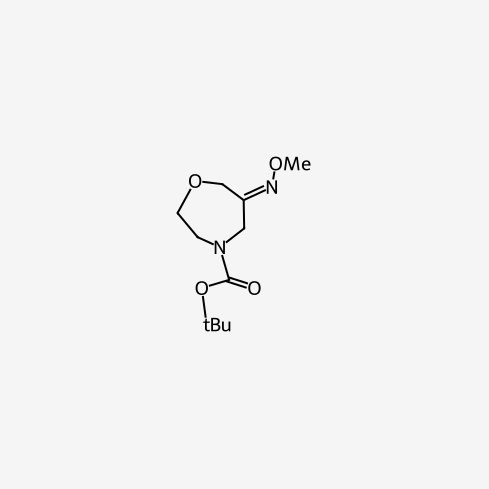 CO/N=C1\COCCN(C(=O)OC(C)(C)C)C1